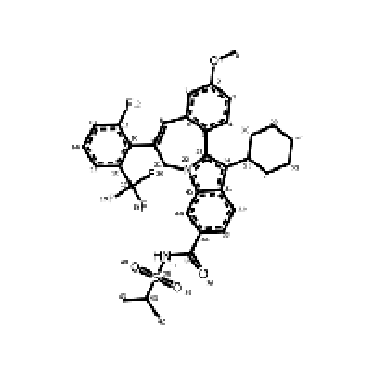 COc1ccc2c(c1)C=C(c1c(F)cccc1C(F)(F)F)Cn1c-2c(C2CCCCC2)c2ccc(C(=O)NS(=O)(=O)C(C)C)cc21